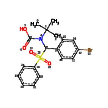 CC(C)(C)N(C(=O)O)C(c1ccc(Br)cc1)S(=O)(=O)c1ccccc1